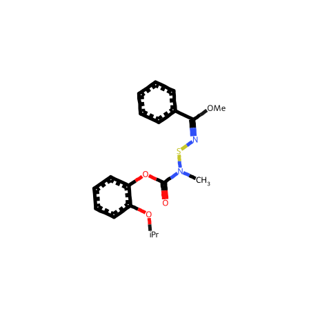 COC(=NSN(C)C(=O)Oc1ccccc1OC(C)C)c1ccccc1